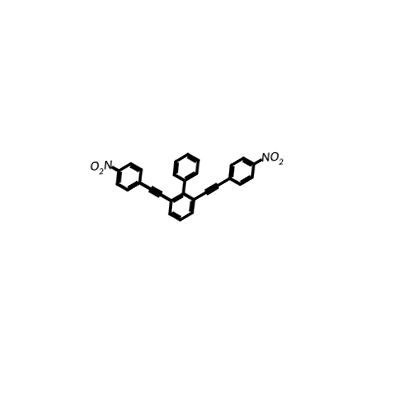 O=[N+]([O-])c1ccc(C#Cc2cccc(C#Cc3ccc([N+](=O)[O-])cc3)c2-c2ccccc2)cc1